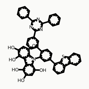 Oc1cc(O)c2c(c1O)c1c(O)c(O)cc(O)c1n2-c1cc(-c2cccc3c2sc2ccccc23)ccc1-c1cccc(-c2nc(-c3ccccc3)nc(-c3ccccc3)n2)c1